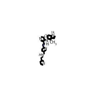 Cc1c(Nc2c(C#N)cncc2/C=C/c2ccc(CNCCc3cccnc3)cn2)ccc2[nH]ccc12